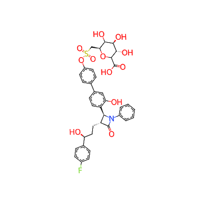 O=C(O)C1O[C@@H](CS(=O)(=O)Oc2ccc(-c3ccc([C@@H]4[C@@H](CC[C@H](O)c5ccc(F)cc5)C(=O)N4c4ccccc4)c(O)c3)cc2)C(O)[C@@H](O)[C@@H]1O